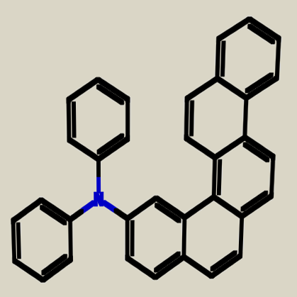 c1ccc(N(c2ccccc2)c2ccc3ccc4ccc5c6ccccc6ccc5c4c3c2)cc1